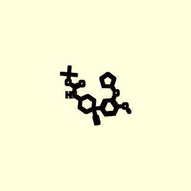 C#CC1(c2ccc(OC)c(OC3CCCC3)c2)CCC(NC(=O)OC(C)(C)C)CC1